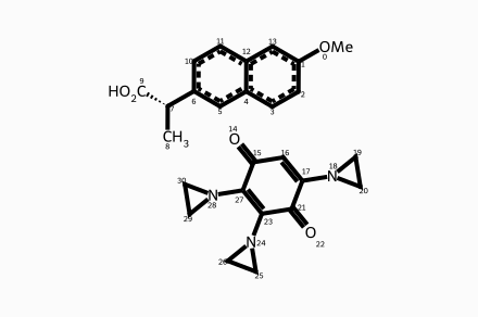 COc1ccc2cc([C@H](C)C(=O)O)ccc2c1.O=C1C=C(N2CC2)C(=O)C(N2CC2)=C1N1CC1